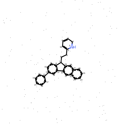 C1=CCNC(CCC2c3ccc(-c4ccccc4)cc3-c3cc4ccccc4cc32)=C1